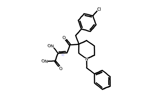 O=NC(=O)/C(=C/C(=O)C1(Cc2ccc(Cl)cc2)CCCN(Cc2ccccc2)C1)N=O